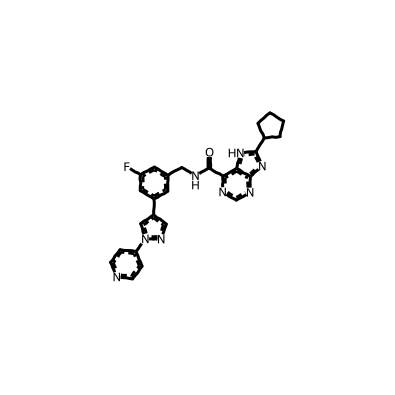 O=C(NCc1cc(F)cc(-c2cnn(-c3ccncc3)c2)c1)c1ncnc2nc(C3CCCC3)[nH]c12